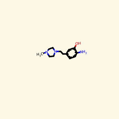 CN1CCN(CCc2ccc(N)c(O)c2)CC1